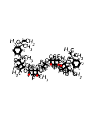 C=CS(C)(C)c1cccc(N(C)C(=O)C(F)(C(F)(F)F)C(C)(CC)OC(F)(F)C(F)(C(F)(F)F)C(C)(CC)OC(F)(F)C(F)(F)OC(C)(CC)C(F)(C(F)(F)F)C(F)(F)OC(C)(CC)C(F)(C(=O)N(C)c2cccc(S(C)(C)CC)c2)C(F)(F)F)c1